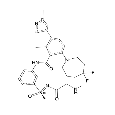 CNCC(=O)N=[S@](C)(=O)c1cccc(NC(=O)c2c(N3CCCC(F)(F)CC3)ccc(-c3cnn(C)c3)c2C)c1